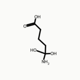 NC(O)(O)CCCC(=O)O